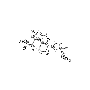 C[C@H]1COc2c(N3CCC4(CC4N)C3)c(F)cc3cc(C(=O)O)c(=O)n1c23